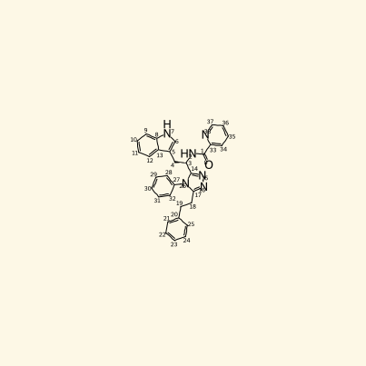 O=C(N[C@H](Cc1c[nH]c2ccccc12)c1nnc(CCc2ccccc2)n1-c1ccccc1)c1ccccn1